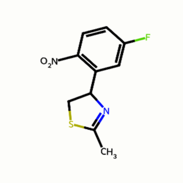 CC1=NC(c2cc(F)ccc2[N+](=O)[O-])CS1